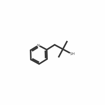 CC(C)(S)Cc1ccccn1